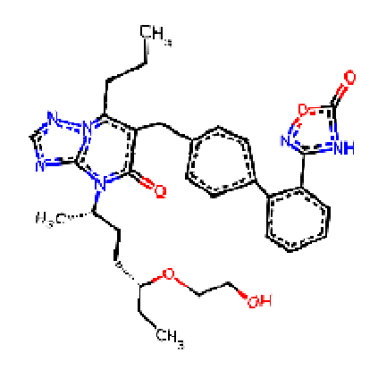 CCCc1c(Cc2ccc(-c3ccccc3-c3noc(=O)[nH]3)cc2)c(=O)n([C@@H](C)CC[C@@H](CC)OCCO)c2ncnn12